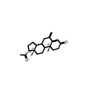 C=C1CC2C(CC[C@@]3(C)C2CC[C@@H]3C(C)=O)[C@@]2(C)CCC(=O)C=C12